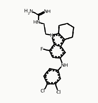 N=C(N)NCCn1c2c(c3cc(Nc4ccc(Cl)c(Cl)c4)cc(F)c31)CCCC2